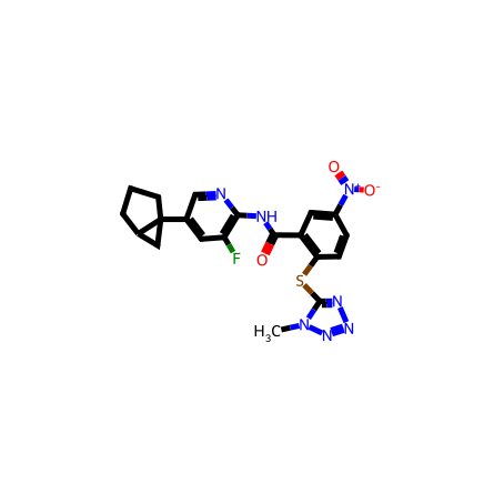 Cn1nnnc1Sc1ccc([N+](=O)[O-])cc1C(=O)Nc1ncc(C23CCCC2C3)cc1F